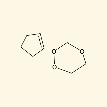 C1=CCCC1.C1COOCO1